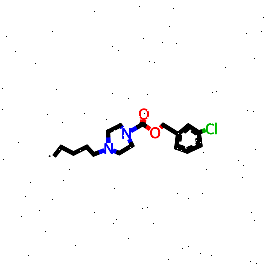 [CH2]CCCCN1CCN(C(=O)OCc2cccc(Cl)c2)CC1